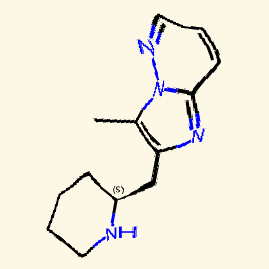 Cc1c(C[C@@H]2CCCCN2)nc2cccnn12